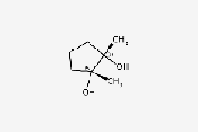 C[C@]1(O)CCC[C@@]1(C)O